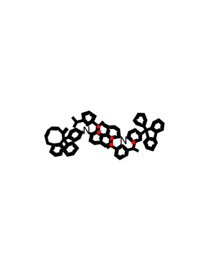 C=C1/C=C\C=C/Cc2ccccc2C1(c1ccccc1)c1ccc(N(c2c(C(C)C)cccc2C(C)C)c2ccc3ccc4c(N(c5ccc(C6(c7ccccc7)c7ccccc7-c7ccccc76)cc5)c5c(C(C)C)cccc5C(C)C)ccc5ccc2c3c54)cc1